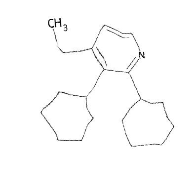 CCc1ccnc(C2CCCCC2)c1C1CCCCC1